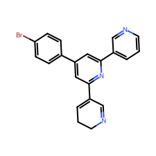 Brc1ccc(-c2cc(C3=CCCN=C3)nc(-c3cccnc3)c2)cc1